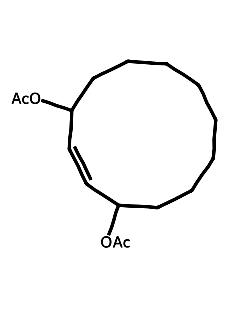 CC(=O)OC1C=CC(OC(C)=O)CCCCCCCC1